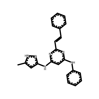 Cc1cc(Nc2cc(Nc3ccccc3)nc(/C=C/c3ccccc3)n2)n[nH]1